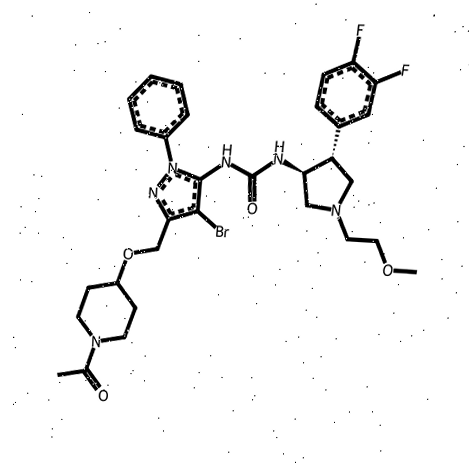 COCCN1C[C@@H](NC(=O)Nc2c(Br)c(COC3CCN(C(C)=O)CC3)nn2-c2ccccc2)[C@H](c2ccc(F)c(F)c2)C1